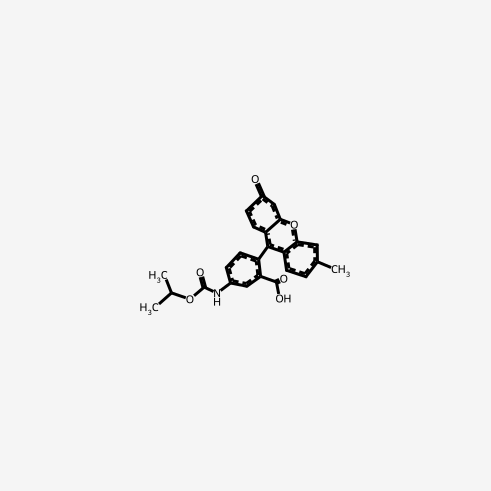 Cc1ccc2c(-c3ccc(NC(=O)OC(C)C)cc3C(=O)O)c3ccc(=O)cc-3oc2c1